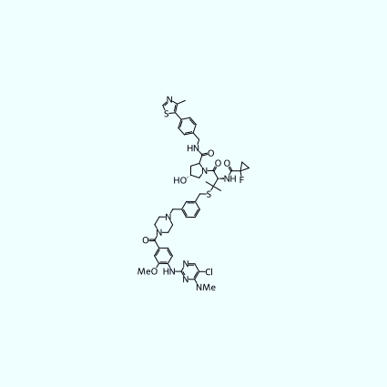 CNc1nc(Nc2ccc(C(=O)N3CCN(Cc4cccc(CSC(C)(C)[C@H](NC(=O)C5(F)CC5)C(=O)N5C[C@H](O)CC5C(=O)NCc5ccc(-c6scnc6C)cc5)c4)CC3)cc2OC)ncc1Cl